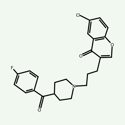 O=C(c1ccc(F)cc1)C1CCN(CCCc2coc3ccc(Cl)cc3c2=O)CC1